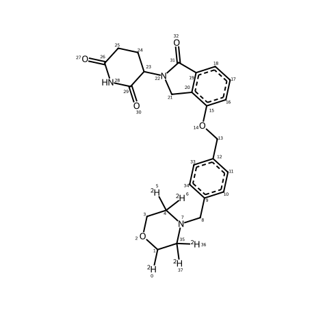 [2H]C1OCC([2H])([2H])N(Cc2ccc(COc3cccc4c3CN(C3CCC(=O)NC3=O)C4=O)cc2)C1([2H])[2H]